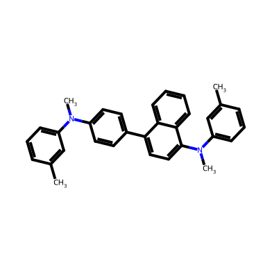 Cc1cccc(N(C)c2ccc(-c3ccc(N(C)c4cccc(C)c4)c4ccccc34)cc2)c1